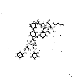 CCCCC[C@@H](C(=O)NCNC(=O)c1cccc(-c2ccc(C(=O)N[C@@H](CC(=O)OCc3ccccc3)C(=O)OCc3ccccc3)c(F)c2)n1)[C@@H](CC)N(C=O)OCc1ccccc1